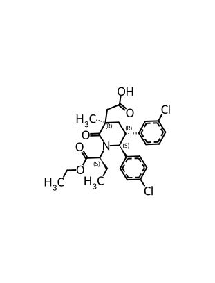 CCOC(=O)[C@H](CC)N1C(=O)[C@@](C)(CC(=O)O)C[C@H](c2cccc(Cl)c2)[C@H]1c1ccc(Cl)cc1